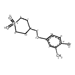 Cc1cc(OCC2CCS(=O)(=O)CC2)ccc1Br